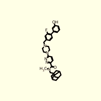 CN(CC12CC3CC(CC(C3)C1)C2)C(=O)c1ccc(N2CCN(Cc3ccc(-c4cccc(O)c4)c(F)c3)CC2)nn1